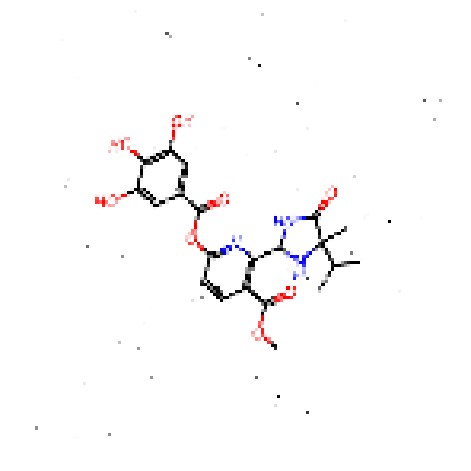 COC(=O)c1ccc(OC(=O)c2cc(O)c(O)c(O)c2)nc1C1NC(=O)C(C)(C(C)C)N1